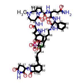 CN1CC[C@H](NC(=O)c2cc3cc(C(F)(F)P(=O)(O)O)ccc3[nH]2)C(=O)N2[C@H](CC[C@H]2C(=O)NC(CCC(N)=O)C(=O)NC(C(=O)NCCCCCCCCCC#Cc2cccc3c2CN(C2CCC(=O)NC2=O)C3=O)c2ccccc2)C1